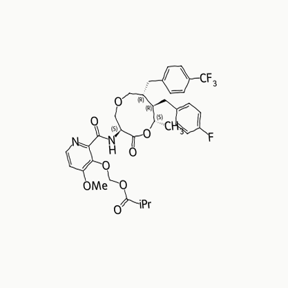 COc1ccnc(C(=O)N[C@H]2COC[C@H](Cc3ccc(C(F)(F)F)cc3)[C@@H](Cc3ccc(F)cc3)[C@H](C)OC2=O)c1OCOC(=O)C(C)C